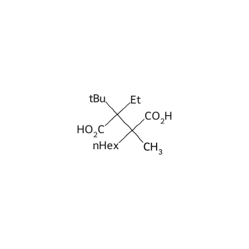 CCCCCCC(C)(C(=O)O)C(CC)(C(=O)O)C(C)(C)C